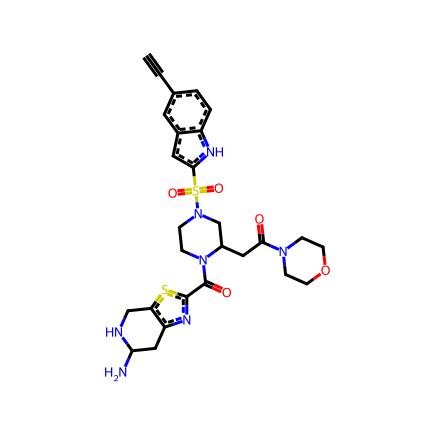 C#Cc1ccc2[nH]c(S(=O)(=O)N3CCN(C(=O)c4nc5c(s4)CNC(N)C5)C(CC(=O)N4CCOCC4)C3)cc2c1